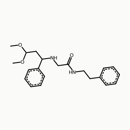 COC(CC(NCC(=O)NCCc1ccccc1)c1ccccc1)OC